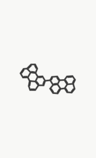 c1cc2cccc3c4cc(-c5ccc6c7cccc8cccc(c9cccc5c96)c87)cc5cccc(c(c1)c23)c54